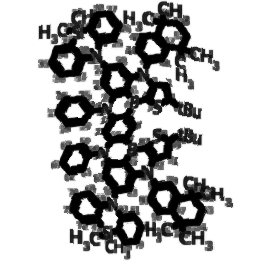 CC(C)(C)c1cc2c(s1)B1c3cc4c(cc3N(c3ccccc3)c3cc(N5c6ccccc6[Si](C)(C)c6ccccc65)cc(c31)N2c1ccc2c(c1)C(C)(C)CCC2(C)C)N(c1ccccc1)c1cc(N2c3ccccc3[Si](C)(C)c3ccccc32)cc2c1B4c1sc(C(C)(C)C)cc1N2c1ccc2c(c1)C(C)(C)CCC2(C)C